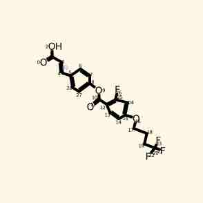 O=C(O)/C=C/c1ccc(OC(=O)c2ccc(OCCCC(F)(F)F)cc2F)cc1